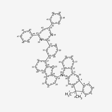 CC1(C)c2ccccc2-c2cc3c4ccccc4n(-c4cccc5c4oc4c(-c6cccc(-c7nc(-c8ccccc8)cc(-c8ccccc8)n7)c6)cccc45)c3cc21